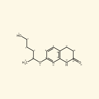 CC(CCCO)Oc1ccc2c(n1)NC(=O)CC2